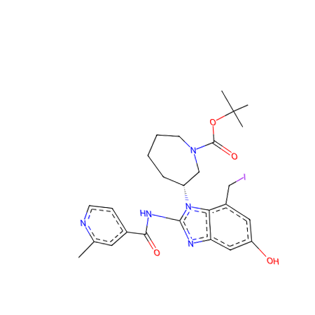 Cc1cc(C(=O)Nc2nc3cc(O)cc(CI)c3n2[C@@H]2CCCCN(C(=O)OC(C)(C)C)C2)ccn1